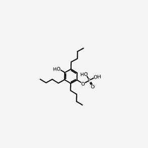 CCCCc1cc(OP(=O)(O)O)c(CCCC)c(CCCC)c1O